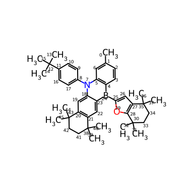 Cc1ccc2c(c1)N(c1ccc(C(C)(C)C)cc1)c1cc3c(cc1B2c1cc2c(o1)C(C)(C)CCC2(C)C)C(C)(C)CCC3(C)C